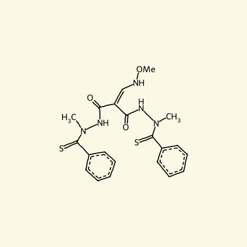 CONC=C(C(=O)NN(C)C(=S)c1ccccc1)C(=O)NN(C)C(=S)c1ccccc1